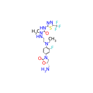 CCN(CCNN(C)C(=O)Nc1nnc(C(F)(F)F)s1)c1ccc(N2C[C@H](CN)OC2=O)cc1F